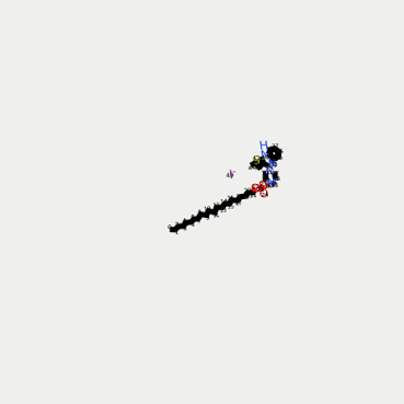 CCCCCCCCCCCCCCCCCCCCCCOC(=O)OC[N+]1(C)CCN(C2=Nc3ccccc3Nc3sc(C)cc32)CC1.[I-]